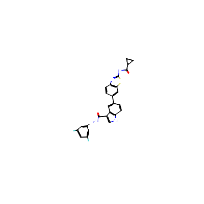 O=C(NCc1cc(F)cc(F)c1)c1c[nH]c2ccc(-c3ccc4nc(NC(=O)C5CC5)sc4c3)cc12